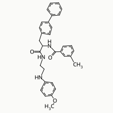 COc1ccc(NCCNC(=O)C(Cc2ccc(-c3ccccc3)cc2)NC(=O)c2cccc(C)c2)cc1